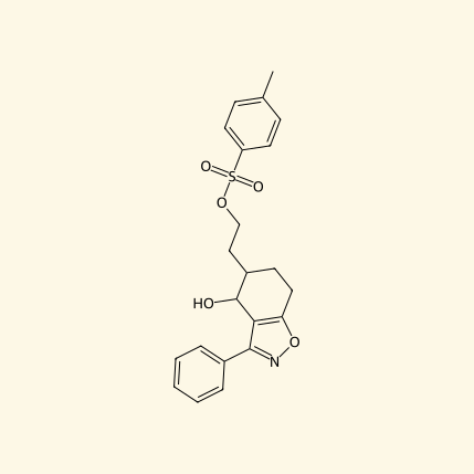 Cc1ccc(S(=O)(=O)OCCC2CCc3onc(-c4ccccc4)c3C2O)cc1